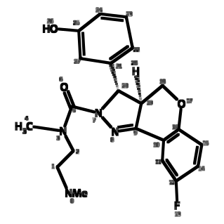 CNCCN(C)C(=O)N1N=C2c3cc(F)ccc3OC[C@@H]2[C@H]1c1cccc(O)c1